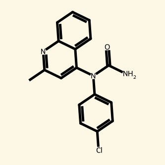 Cc1cc(N(C(N)=O)c2ccc(Cl)cc2)c2ccccc2n1